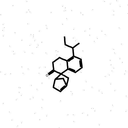 CCC(C)c1cccc2c1CCC(=O)C21CC2=CCC1C2